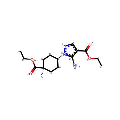 CCOC(=O)c1cnn([C@H]2CC[C@](C)(C(=O)OCC)CC2)c1N